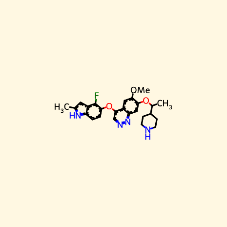 COc1cc2c(Oc3ccc4[nH]c(C)cc4c3F)cnnc2cc1OC(C)C1CCNCC1